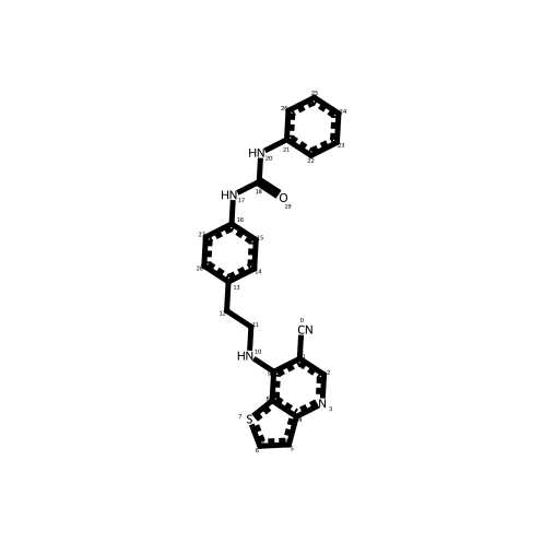 N#Cc1cnc2ccsc2c1NCCc1ccc(NC(=O)Nc2ccccc2)cc1